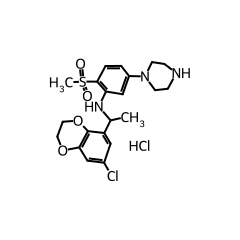 CC(Nc1cc(N2CCNCC2)ccc1S(C)(=O)=O)c1cc(Cl)cc2c1OCCO2.Cl